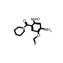 COc1cc(N)c(OCF)cc1C(=O)N1CCCCC1